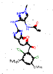 C=CC(=O)Nc1cn(C)nc1Nc1ncc2cc(C(=O)c3c(Cl)c(OC)cc(OC)c3Cl)oc2n1